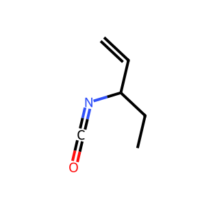 C=CC(CC)N=C=O